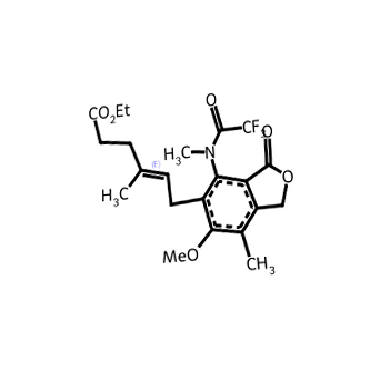 CCOC(=O)CC/C(C)=C/Cc1c(OC)c(C)c2c(c1N(C)C(=O)C(F)(F)F)C(=O)OC2